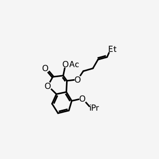 CC/C=C/CCOc1c(OC(C)=O)c(=O)oc2cccc(OC(C)C)c12